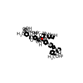 CC1(OP(=O)(O)O)CCC([C@H]2COc3cc(S(=O)(=O)NC(=O)c4ccc(N5CCC6(CC5)CC(N5CCCOC[C@H]5c5ccccc5C(C)(C)O)C6)cc4N4c5cc6cc[nH]c6nc5O[C@H]5COCC[C@@H]54)cc([N+](=O)[O-])c3N2)CC1